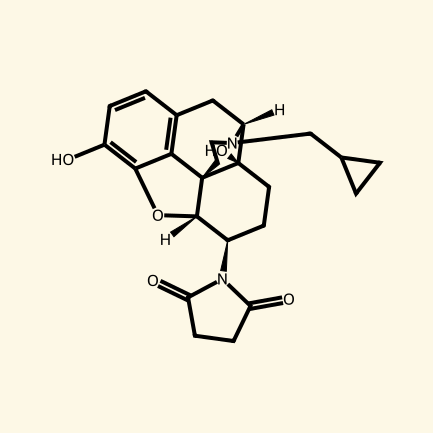 O=C1CCC(=O)N1[C@@H]1CC[C@@]2(O)[C@H]3Cc4ccc(O)c5c4[C@@]2(CCN3CC2CC2)[C@H]1O5